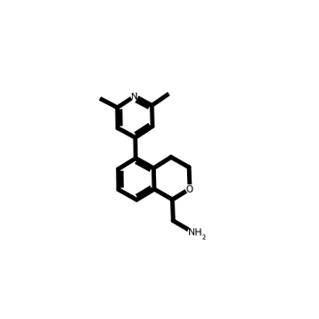 Cc1cc(-c2cccc3c2CCOC3CN)cc(C)n1